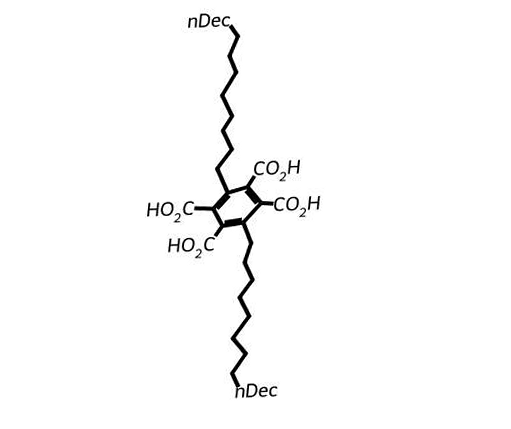 CCCCCCCCCCCCCCCCCCc1c(C(=O)O)c(C(=O)O)c(CCCCCCCCCCCCCCCCCC)c(C(=O)O)c1C(=O)O